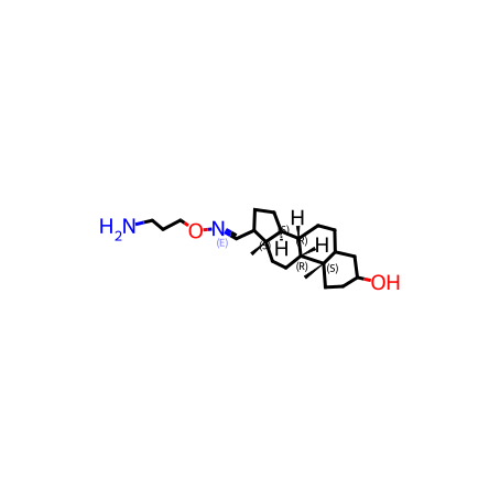 C[C@]12CCC(O)CC1CC[C@@H]1[C@H]2CC[C@]2(C)C(/C=N/OCCCN)CC[C@@H]12